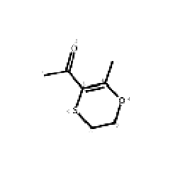 CC(=O)C1=C(C)OCCS1